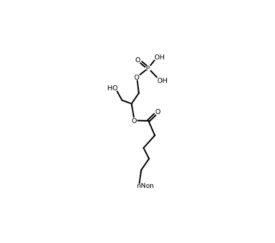 CCCCCCCCCCCCCC(=O)OC(CO)COP(=O)(O)O